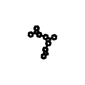 C1=CCCC(N2C3=CC=C(c4ccc5c(c4)c4ccccc4n5C4=CC=CCC4)CC3C3=C2CCC(c2ccc4c(c2)sc2ccccc24)=C3)=C1